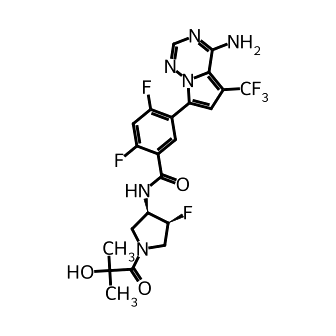 CC(C)(O)C(=O)N1C[C@H](F)[C@H](NC(=O)c2cc(-c3cc(C(F)(F)F)c4c(N)ncnn34)c(F)cc2F)C1